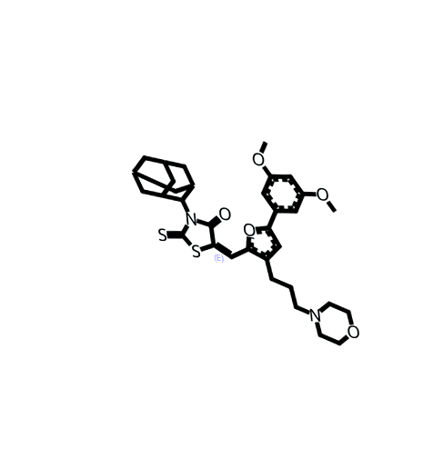 COc1cc(OC)cc(-c2cc(CCCN3CCOCC3)c(/C=C3/SC(=S)N(C4C5CC6CC(C5)CC4C6)C3=O)o2)c1